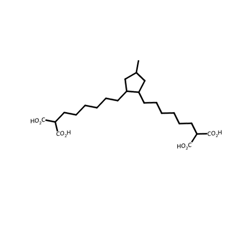 CC1CC(CCCCCCC(C(=O)O)C(=O)O)C(CCCCCCC(C(=O)O)C(=O)O)C1